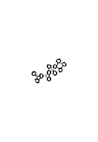 c1ccc(-n2c3ccccc3c3cc(-n4c5ccccc5c5cc([Si](c6ccccc6)(c6ccccc6)c6ccc7c(c6)-c6ccccc6-c6ccccc6-c6ccccc6-7)ccc54)ccc32)cc1